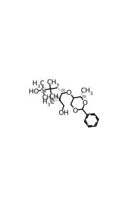 C[C@@H]1OC(c2ccccc2)OCC1O[C@@H](CC(C)(C)[Si](C)(C)O)[C@@H](C)CO